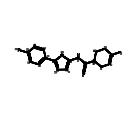 CC1=CCN(C(=O)Nc2nnc(-c3ccc(F)cc3)o2)CC1